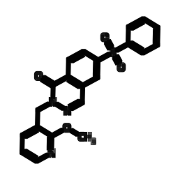 COc1ncccc1Cn1ncc2cc(S(=O)(=O)c3ccccc3)ccc2c1=O